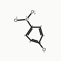 [O-][S+](Cl)c1ccc(Cl)cc1